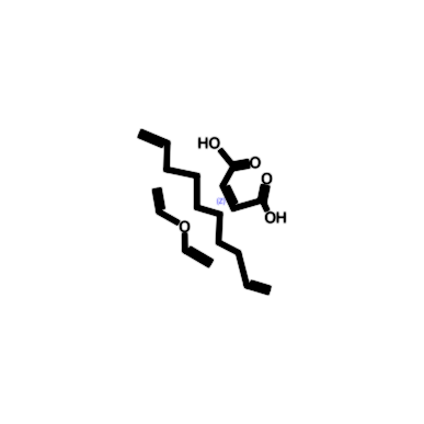 C=CCCCCCCC=C.C=COC=C.O=C(O)/C=C\C(=O)O